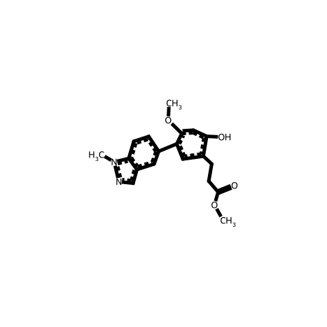 COC(=O)CCc1cc(-c2ccc3c(cnn3C)c2)c(OC)cc1O